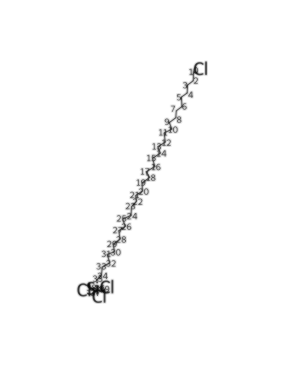 ClCCCCCCCCCCCCCCCCCCCCCCCCCCCCCCCCCCC[Si](Cl)(Cl)Cl